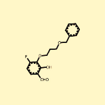 O=Cc1ccc(F)c(OCCCOCc2ccccc2)c1O